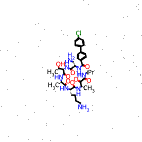 CC(C)NC(=O)C(=O)[C@H](C)NC(=O)[C@H](CCCCN)NC(=O)[C@H](C)NC(=O)[C@@H](NC(=O)[C@H](CN)NC(=O)c1ccc(-c2ccc(Cl)cc2)cc1)[C@@H](C)O